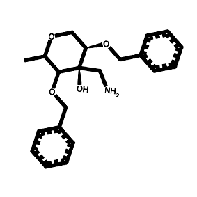 CC1OC[C@@H](OCc2ccccc2)[C@](O)(CN)C1OCc1ccccc1